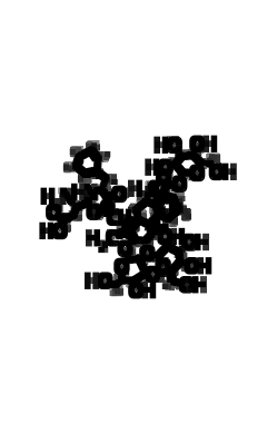 C=C1C[C@@]23CC[C@H]4[C@@](C)(CCC[C@@]4(C)C(=O)O[C@@H]4O[C@H](CO)[C@@H](O)[C@H](O)[C@H]4O)[C@@H]2CC[C@]1(O[C@@H]1O[C@H](CO)[C@@H](O)[C@H](O)[C@H]1O[C@@H]1O[C@H](CO)[C@@H](O)[C@H](O)[C@H]1O)C3.COC(=O)[C@H](Cc1ccccc1)NC(=O)[C@@H](N)CC(=O)O